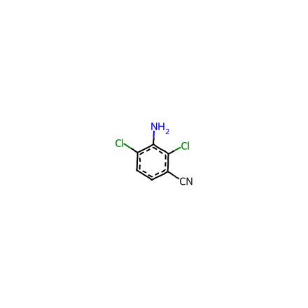 N#Cc1ccc(Cl)c(N)c1Cl